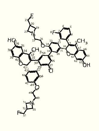 CC1=C(c2cccc(F)c2)[C@H](c2ccc(OCCN3CC(CF)C3)c(-c3cc(Cl)cc(C4=C(C)c5cc(O)ccc5O[C@H]4c4ccc(OCCN5CC(CF)C5)cc4)c3)c2)Oc2cc(O)ccc21